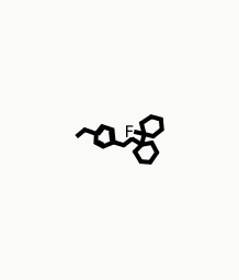 CCc1ccc(CC(F)C2(C3(C)CCCCC3)CCCCC2)cc1